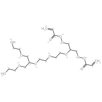 C=CC(=O)OOCC(COOC(=O)C=C)OCCOCCOC(COCCO)COCCO